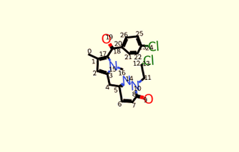 Cc1cc(Cc2ccc(=O)n(CCCl)n2)n(C)c1C(=O)c1ccc(Cl)cc1